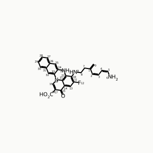 C=C(/C=C\C=C/N)CCNc1c(F)cc2c(=O)c(C(=O)O)cn3c2c1Nc1cc2ccccc2cc1-3